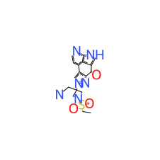 CCS(=O)(=O)N1CC(CC#N)(n2cc3c(n2)C(=O)c2c[nH]c4nccc-3c24)C1